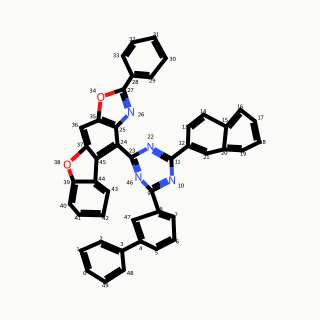 c1ccc(-c2cccc(-c3nc(-c4ccc5ccccc5c4)nc(-c4c5nc(-c6ccccc6)oc5cc5oc6ccccc6c45)n3)c2)cc1